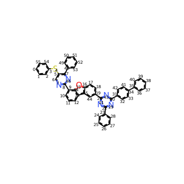 c1ccc(Sc2cnc(-c3cccc4c3oc3ccc(-c5nc(-c6ccccc6)nc(-c6ccc(-c7ccccc7)cc6)n5)cc34)nc2-c2ccccc2)cc1